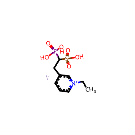 CC[n+]1cccc(CC(P(=O)(O)O)S(=O)(=O)O)c1.[I-]